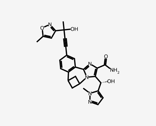 Cc1cc(C(C)(O)C#Cc2ccc3c(c2)-c2nc(C(N)=O)c([C@H](O)c4ccnn4C)n2C2CC3C2)no1